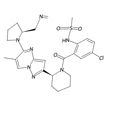 C=NC[C@@H]1CCCN1c1nc2cc([C@@H]3CCCCN3C(=O)c3cc(Cl)ccc3NS(C)(=O)=O)nn2cc1C